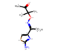 COC(=O)C(C)(C)ON=C(C(=O)O)c1csc(N)n1